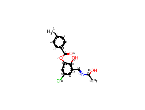 Cc1ccc(C(=O)Oc2cc(Cl)cc(/C=N/C(O)C(C)C)c2O)cc1